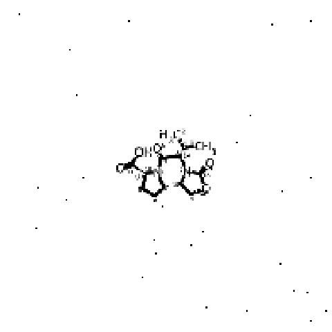 CC(C)[C@@H](C(=O)N1CCC[C@H]1C(=O)O)N1CCOC1=O